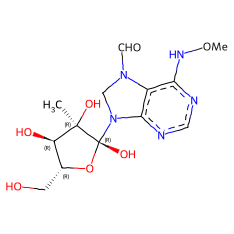 CONc1ncnc2c1N(C=O)CN2[C@]1(O)O[C@H](CO)[C@@H](O)[C@@]1(C)O